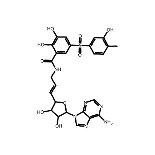 Cc1ccc(S(=O)(=O)c2cc(O)c(O)c(C(=O)NCC=CC3OC(n4cnc5c(N)ncnc54)C(O)C3O)c2)cc1O